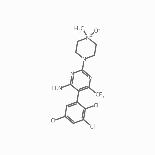 C[N+]1([O-])CCN(c2nc(N)c(-c3cc(Cl)cc(Cl)c3Cl)c(C(F)(F)F)n2)CC1